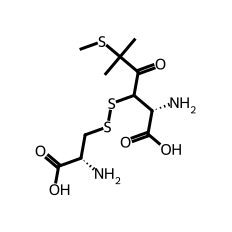 CSC(C)(C)C(=O)C(SSC[C@H](N)C(=O)O)[C@H](N)C(=O)O